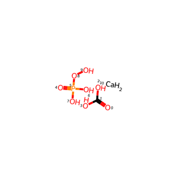 O=C(O)O.O=P(O)(O)OO.[CaH2]